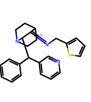 c1ccc(C(c2cccnc2)C2/C(=N/Cc3cccs3)C3CCN2CC3)cc1